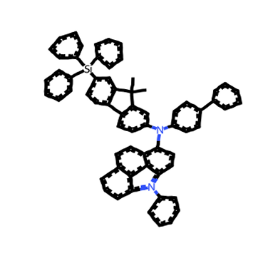 CC1(C)c2cc(N(c3ccc(-c4ccccc4)cc3)c3ccc4c5c3ccc3cccc(c35)n4-c3ccccc3)ccc2-c2ccc([Si](c3ccccc3)(c3ccccc3)c3ccccc3)cc21